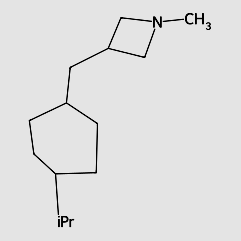 CC(C)C1CCC(CC2CN(C)C2)CC1